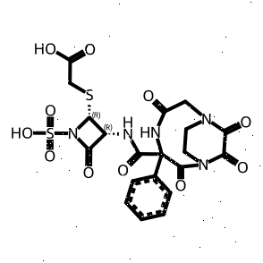 O=C(O)CS[C@@H]1[C@H](NC(=O)C2(c3ccccc3)NC(=O)CN3CCN(C(=O)C3=O)C2=O)C(=O)N1S(=O)(=O)O